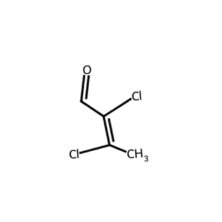 CC(Cl)=C(Cl)C=O